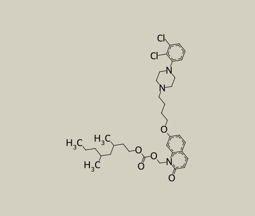 CCCC(C)CC(C)CCOC(=O)OCn1c(=O)ccc2ccc(OCCCCN3CCN(c4cccc(Cl)c4Cl)CC3)cc21